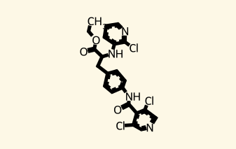 CCOC(=O)C(Cc1ccc(NC(=O)c2c(Cl)cncc2Cl)cc1)Nc1cccnc1Cl